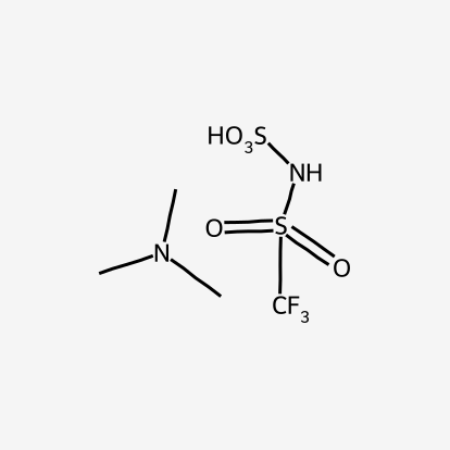 CN(C)C.O=S(=O)(O)NS(=O)(=O)C(F)(F)F